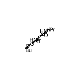 CCC(C)CCOCCOCCNC(=O)COCCOC(=O)NCCC(C)C